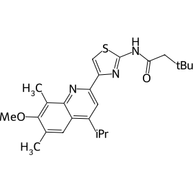 COc1c(C)cc2c(C(C)C)cc(-c3csc(NC(=O)CC(C)(C)C)n3)nc2c1C